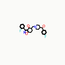 O=C(c1ccc(F)cc1)C1CCN(CC2CCc3onc(-c4ccccc4F)c3C2=O)CC1